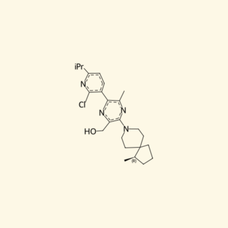 Cc1nc(N2CCC3(CCC[C@H]3C)CC2)c(CO)nc1-c1ccc(C(C)C)nc1Cl